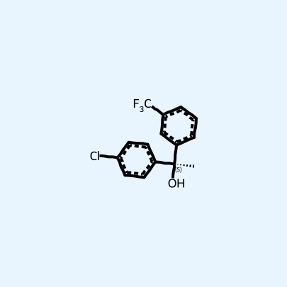 C[C@](O)(c1ccc(Cl)cc1)c1cccc(C(F)(F)F)c1